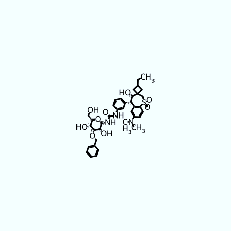 CCC1CC2(C1)CS(=O)(=O)c1ccc(N(C)C)cc1[C@H](c1cccc(NC(=O)N[C@@H]3O[C@H](CO)[C@@H](O)[C@H](OCc4ccccc4)[C@H]3O)c1)[C@@H]2O